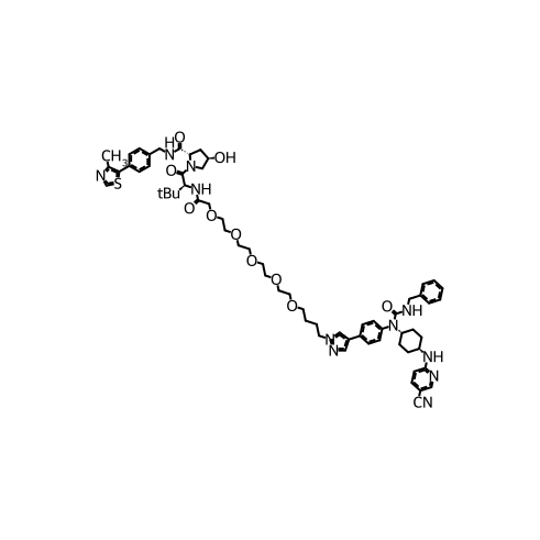 Cc1ncsc1-c1ccc(CNC(=O)[C@@H]2C[C@@H](O)CN2C(=O)[C@@H](NC(=O)COCCOCCOCCOCCOCCCCn2cc(-c3ccc(N(C(=O)NCc4ccccc4)[C@H]4CC[C@H](Nc5ccc(C#N)cn5)CC4)cc3)cn2)C(C)(C)C)cc1